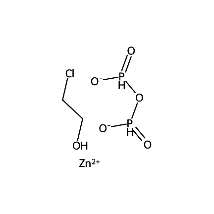 O=[PH]([O-])O[PH](=O)[O-].OCCCl.[Zn+2]